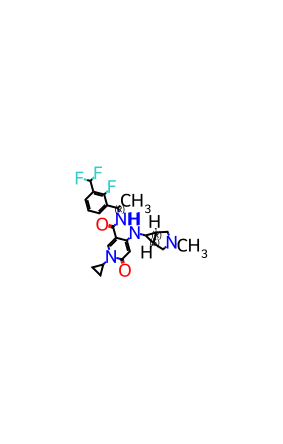 C[C@@H](NC(=O)c1cn(C2CC2)c(=O)cc1NC1[C@H]2CN(C)C[C@@H]12)c1cccc(C(F)F)c1F